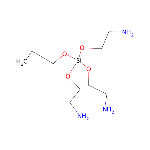 CCCO[Si](OCCN)(OCCN)OCCN